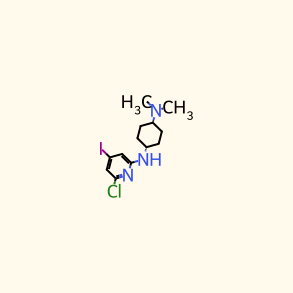 CN(C)[C@H]1CC[C@H](Nc2cc(I)cc(Cl)n2)CC1